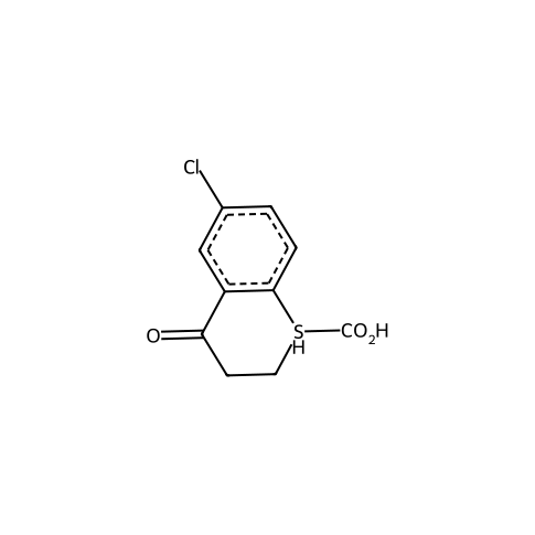 O=C1CC[SH](C(=O)O)c2ccc(Cl)cc21